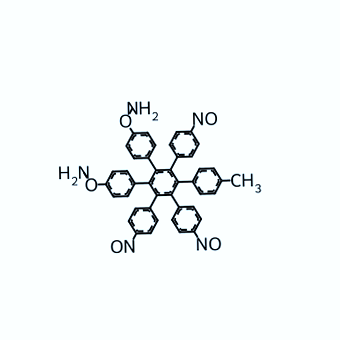 Cc1ccc(-c2c(-c3ccc(N=O)cc3)c(-c3ccc(N=O)cc3)c(-c3ccc(ON)cc3)c(-c3ccc(ON)cc3)c2-c2ccc(N=O)cc2)cc1